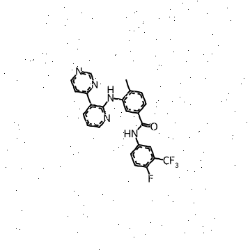 Cc1ccc(C(=O)Nc2ccc(F)c(C(F)(F)F)c2)cc1Nc1ncccc1-c1ccncn1